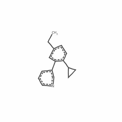 CCc1ccc(C2CC2)c(-c2cccnc2)c1